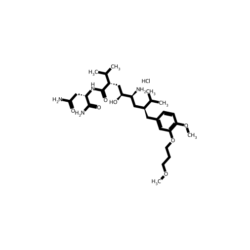 COCCCOc1cc(C[C@@H](C[C@H](N)[C@@H](O)C[C@H](C(=O)N[C@@H](CC(N)=O)C(N)=O)C(C)C)C(C)C)ccc1OC.Cl